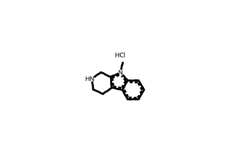 Cl.Cn1c2c(c3ccccc31)CCNC2